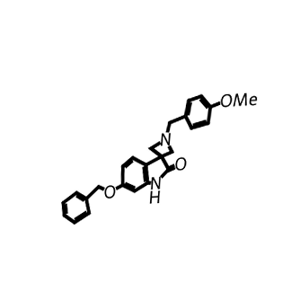 COc1ccc(CN2CC3(C2)C(=O)Nc2cc(OCc4ccccc4)ccc23)cc1